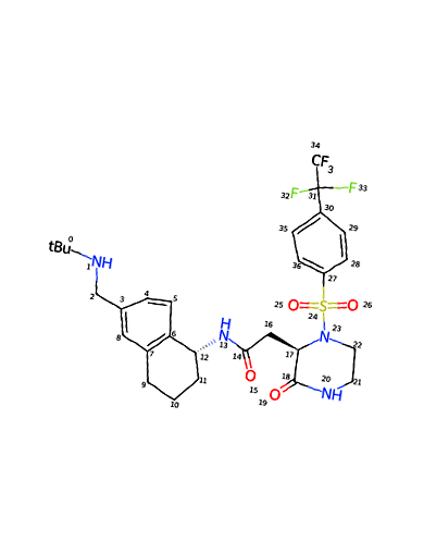 CC(C)(C)NCc1ccc2c(c1)CCC[C@H]2NC(=O)C[C@@H]1C(=O)NCCN1S(=O)(=O)c1ccc(C(F)(F)C(F)(F)F)cc1